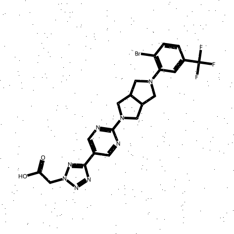 O=C(O)Cn1nnc(-c2cnc(N3CC4CN(c5cc(C(F)(F)F)ccc5Br)CC4C3)nc2)n1